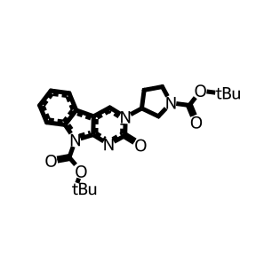 CC(C)(C)OC(=O)N1CCC(n2cc3c4ccccc4n(C(=O)OC(C)(C)C)c3nc2=O)C1